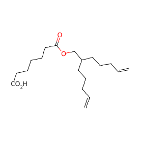 C=CCCCC(CCCC=C)COC(=O)CCCCCC(=O)O